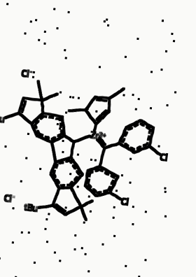 CC1=CC(C)[C]([Zr+2](=[C](c2cccc(Cl)c2)c2cccc(Cl)c2)[CH]2c3cc4c(cc3-c3cc5c(cc32)C(C)(C)C=C5C(C)(C)C)C(C(C)(C)C)=CC4(C)C)=C1.[Cl-].[Cl-]